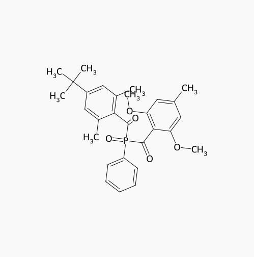 COc1cc(C)cc(OC)c1C(=O)P(=O)(C(=O)c1c(C)cc(C(C)(C)C)cc1C)c1ccccc1